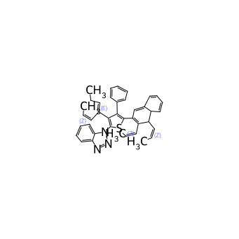 C/C=C\C1=C(c2sc(-n3nnc4ccccc43)c(C(/C=C\C)=C/CC)c2-c2ccccc2)C=C2C=CC=CC2C1/C=C\C